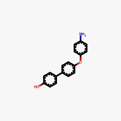 Nc1ccc(Oc2ccc(-c3ccc(O)cc3)cc2)cc1